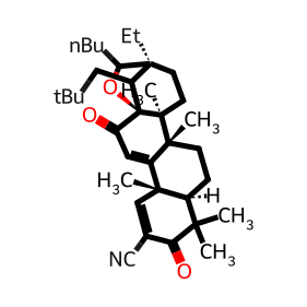 CCCCC1O[C@]23C(=O)C=C4[C@@]5(C)C=C(C#N)C(=O)C(C)(C)[C@@H]5CC[C@@]4(C)[C@]2(C)CC[C@@]1(CC)C3CC(C)(C)C